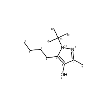 CCCCc1c(O)c(C)nn1C(C)(C)C